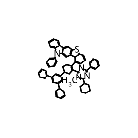 CN1C(C2=C(C3=CC=CC4Sc5cc6c7ccccc7n(-c7ccccc7)c6cc5C34)CCC(c3cc(C4=CC=CCC4)cc(C4C=CC=CC4)c3)C2)=NC(c2ccccc2)=NC1C1CCCCC1